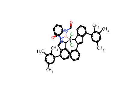 Cc1cc(C)c(C)c(-c2cccc3c2C=C(c2ccccc2)[CH]3[Zr]([Cl])([Cl])([B](NC=O)NC=O)[CH]2C(c3ccccc3)=Cc3c(-c4cc(C)cc(C)c4C)cccc32)c1